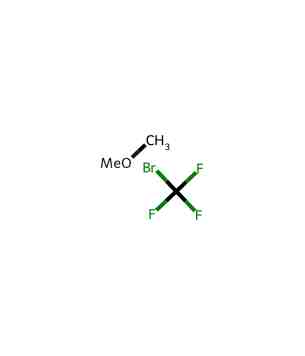 COC.FC(F)(F)Br